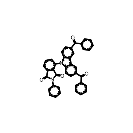 O=C(c1ccccc1)c1ccc2c(c1)c1cc(C(=O)c3ccccc3)ccc1n2-c1cccc2c1C(=O)N(c1ccccc1)C2=O